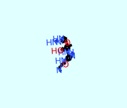 Cc1cc(Nc2ncnc3ccc(NC(=O)/C=C/CN(C)C)cc23)c(C(C)(C)O)cc1Oc1cc[nH]/c(=N\C=N)c1